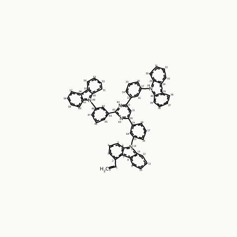 C=Cc1cccc2c1c1ccccc1n2-c1cccc(-c2cc(-c3cccc(-n4c5ccccc5c5ccccc54)c3)nc(-c3cccc(-n4c5ccccc5c5ccccc54)c3)n2)c1